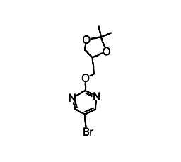 CC1(C)OCC(COc2ncc(Br)cn2)O1